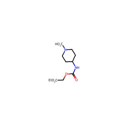 CCOC(=O)COC(=O)NC1CCN(C(=O)O)CC1